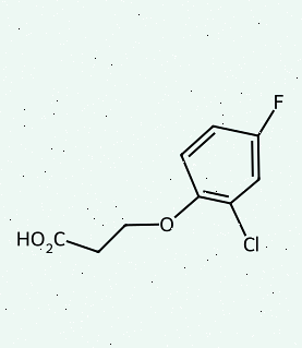 O=C(O)CCOc1ccc(F)cc1Cl